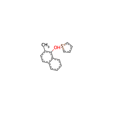 Cc1ccc2ccccc2c1O.c1ccsc1